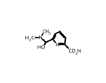 CN(C)C(O)c1cccc(C(=O)O)n1